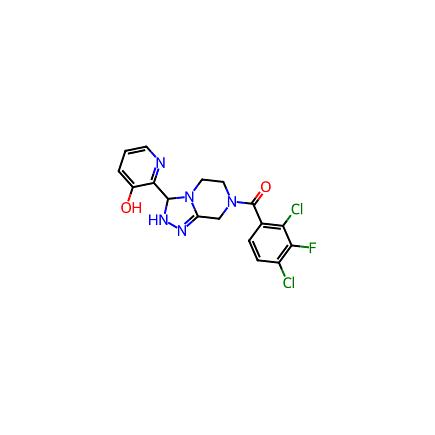 O=C(c1ccc(Cl)c(F)c1Cl)N1CCN2C(=NNC2c2ncccc2O)C1